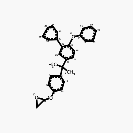 CC(C)(c1ccc(OC2CO2)cc1)c1ccc(Oc2ccccc2)c(-c2ccccc2)c1